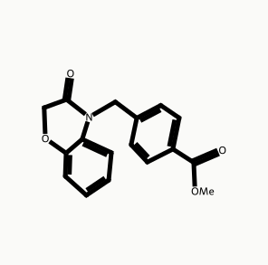 COC(=O)c1ccc(CN2C(=O)COc3ccccc32)cc1